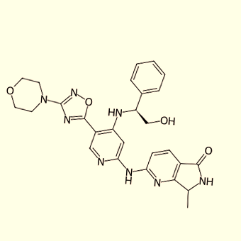 CC1NC(=O)c2ccc(Nc3cc(N[C@H](CO)c4ccccc4)c(-c4nc(N5CCOCC5)no4)cn3)nc21